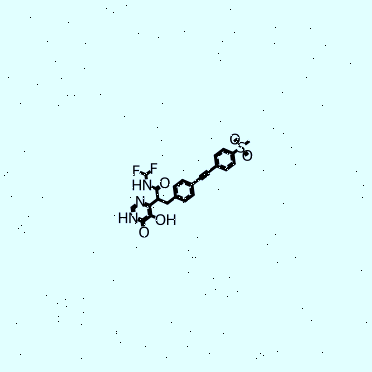 CS(=O)(=O)c1ccc(C#Cc2ccc(CC(C(=O)NC(F)F)c3nc[nH]c(=O)c3O)cc2)cc1